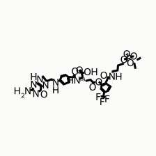 CCOP(=O)(OCC)OCCCCNC(=O)c1ccc(C(F)(F)F)cc1OC(=O)CC[C@H](NC(=O)c1ccc(NCc2cnc3[nH]c(N)nc(=O)c3n2)cc1)C(=O)O